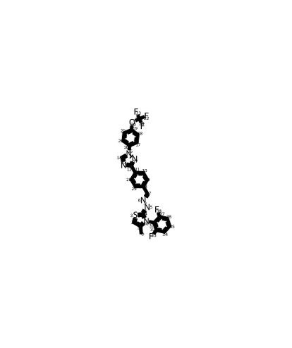 Cc1cs/c(=N\N=C\c2ccc(-c3ncn(-c4ccc(OC(F)(F)F)cc4)n3)cc2)n1-c1c(F)cccc1F